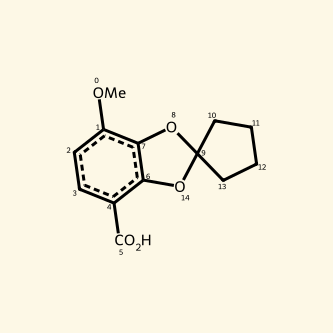 COc1ccc(C(=O)O)c2c1OC1(CCCC1)O2